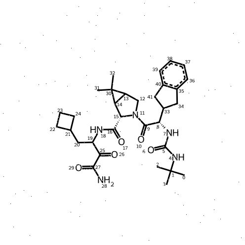 CC(C)(C)NC(=O)N[C@H](C(=O)N1CC2C([C@H]1C(=O)NC(CC1CCC1)C(=O)C(N)=O)C2(C)C)C1Cc2ccccc2C1